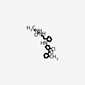 CCNC(=O)NCC=Cc1ccccc1Nc1ccc(C(=O)c2ccccc2C)c(Cl)c1